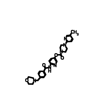 Cc1ccc(N2CCN(C(=O)Oc3ccc(NC(=O)c4ccc(CN5CCOCC5)cc4)nc3)CC2)nc1